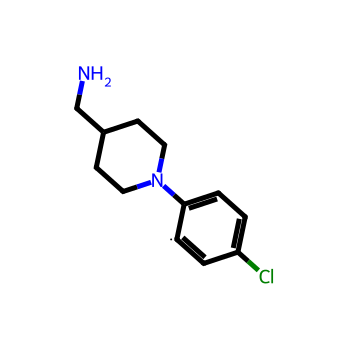 NCC1CCN(c2[c]cc(Cl)cc2)CC1